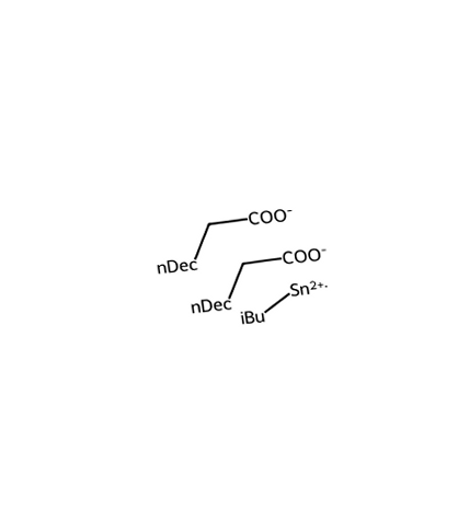 CCCCCCCCCCCC(=O)[O-].CCCCCCCCCCCC(=O)[O-].CC[CH](C)[Sn+2]